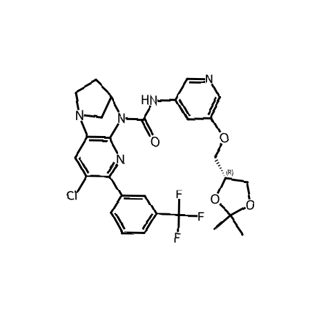 CC1(C)OC[C@@H](COc2cncc(NC(=O)N3c4nc(-c5cccc(C(F)(F)F)c5)c(Cl)cc4N4CCC3C4)c2)O1